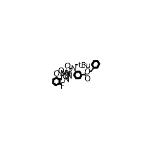 COc1cccc(F)c1-n1nnn(C(=O)N(CC(C)(C)C)c2cccc(C(=O)OCc3ccccc3)c2)c1=O